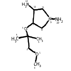 COCC(C)(C)OC1CN(N)CC1N